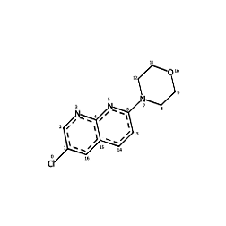 Clc1cnc2nc(N3CCOCC3)ccc2c1